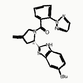 C=C1C[C@@H](c2nc3cc(C(C)(C)C)ccc3[nH]2)N(C(=O)c2ccccc2-n2nccn2)C1